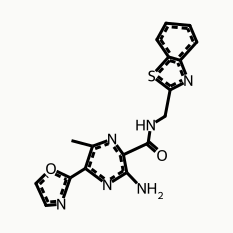 Cc1nc(C(=O)NCc2nc3ccccc3s2)c(N)nc1-c1ncco1